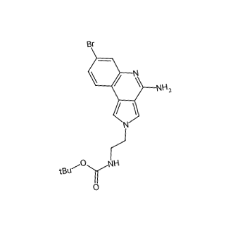 CC(C)(C)OC(=O)NCCn1cc2c(N)nc3cc(Br)ccc3c2c1